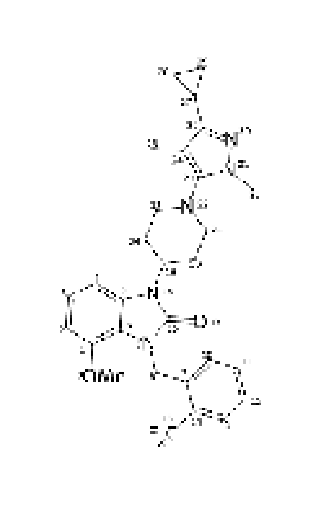 COc1cccc2c1n(Cc1ccccc1C(F)(F)F)c(=O)n2C1CCN(c2c(C)c(C3CC3)nn2C)CC1